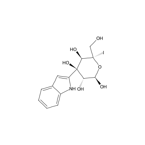 OC[C@@]1(I)O[C@@H](O)[C@H](O)[C@](O)(c2cc3ccccc3[nH]2)[C@H]1O